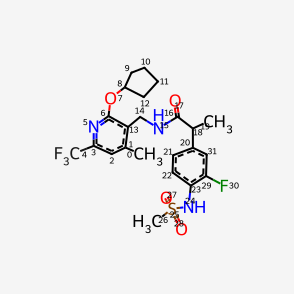 Cc1cc(C(F)(F)F)nc(OC2CCCC2)c1CNC(=O)C(C)c1ccc(NS(C)(=O)=O)c(F)c1